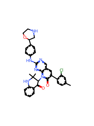 Cc1ccc(-c2cc3cnc(Nc4ccc(C5CNCCO5)cc4)nc3n(C3C(=O)c4ccccc4NC3(C)C)c2=O)c(Cl)c1